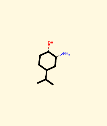 CC(C)[C@H]1CC[C@H](O)[C@H](N)C1